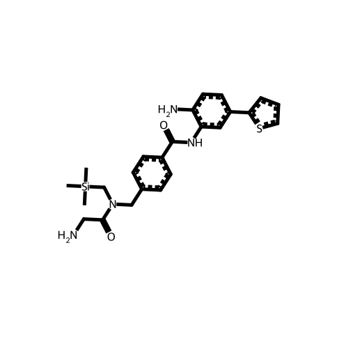 C[Si](C)(C)CN(Cc1ccc(C(=O)Nc2cc(-c3cccs3)ccc2N)cc1)C(=O)CN